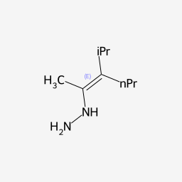 CCC/C(=C(/C)NN)C(C)C